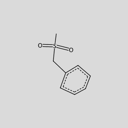 CS(=O)(=O)Cc1ccccc1